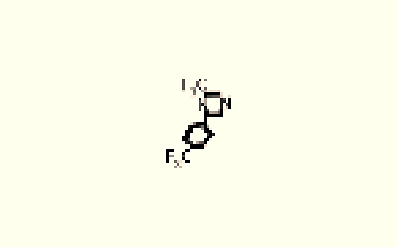 FC(F)(F)c1ccc(-c2[c]ncc(C(F)(F)F)n2)cc1